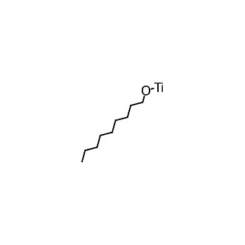 CCCCCCCCC[O][Ti]